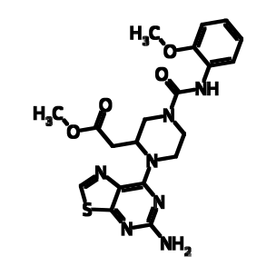 COC(=O)CC1CN(C(=O)Nc2ccccc2OC)CCN1c1nc(N)nc2scnc12